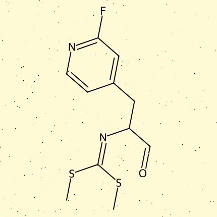 CSC(=NC(C=O)Cc1ccnc(F)c1)SC